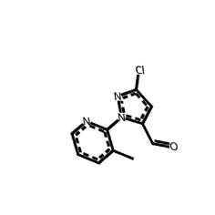 Cc1cccnc1-n1nc(Cl)cc1C=O